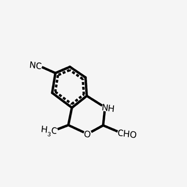 CC1OC(C=O)Nc2ccc(C#N)cc21